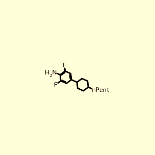 CCCCCC1CCC(c2cc(F)c(N)c(F)c2)CC1